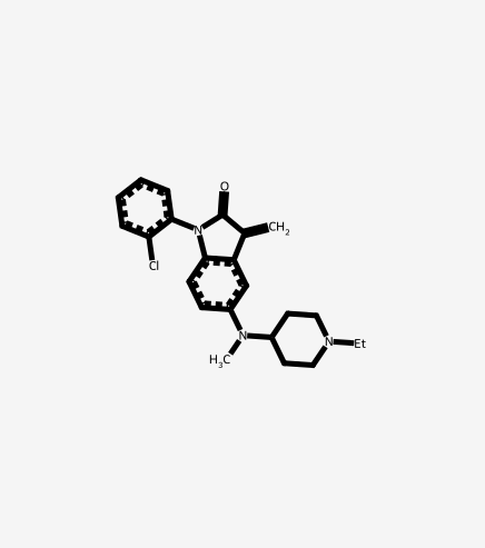 C=C1C(=O)N(c2ccccc2Cl)c2ccc(N(C)C3CCN(CC)CC3)cc21